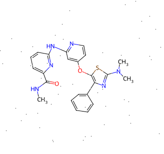 CNC(=O)c1cccc(Nc2cc(Oc3sc(N(C)C)nc3-c3ccccc3)ccn2)n1